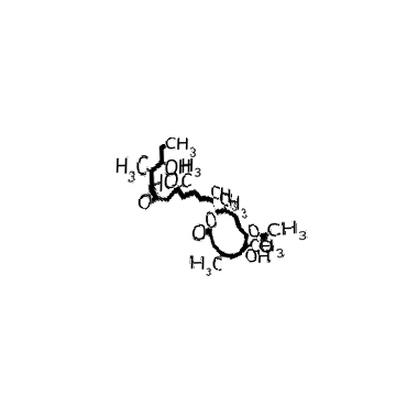 CC[C@H](O)[C@@H](C)[C@H]1O[C@@H]1C[C@@](C)(O)/C=C/C=C(\C)[C@H]1OC(=O)C[C@H](C)CC[C@@](C)(O)[C@@H](OC(C)=O)/C=C/[C@@H]1C